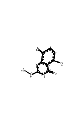 CCCCNc1nc2c(Cl)ccc(Cl)c2c(=O)[nH]1